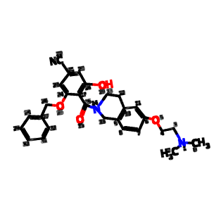 CN(C)CCOc1ccc2c(c1)CCN(C(=O)c1c(O)cc(C#N)cc1OCc1ccccc1)C2